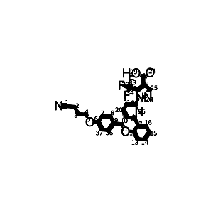 N#CCCCOc1ccc(COc2ccccc2-c2cccc(-n3ncc(C(=O)O)c3C(F)(F)F)n2)cc1